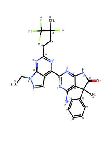 CCn1ncc2c(-c3nc(N)c4c(n3)NC(=O)C4(C)c3ccccc3)nc(CCC(C)(F)C(F)(F)F)nc21